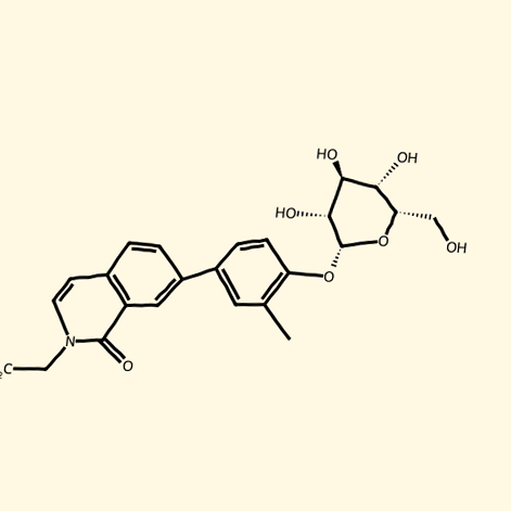 Cc1cc(-c2ccc3ccn(CC(=O)O)c(=O)c3c2)ccc1O[C@H]1O[C@@H](CO)[C@@H](O)[C@H](O)[C@H]1O